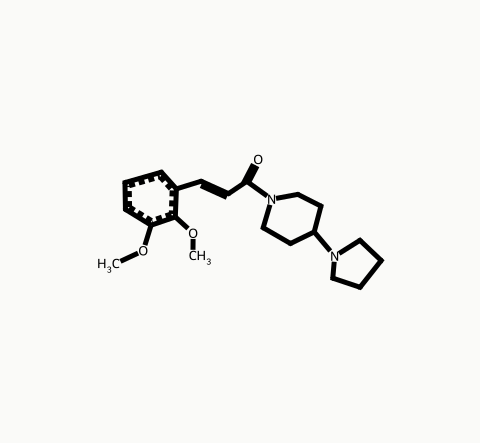 COc1cccc(C=CC(=O)N2CCC(N3CCCC3)CC2)c1OC